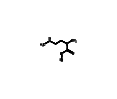 [2H]OC(=O)N(C)CCNC